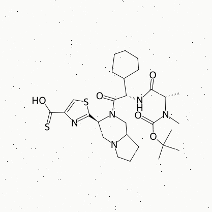 C[C@@H](C(=O)N[C@H](C(=O)N1CC2CCCN2C[C@H]1c1nc(C(O)=S)cs1)C1CCCCC1)N(C)C(=O)OC(C)(C)C